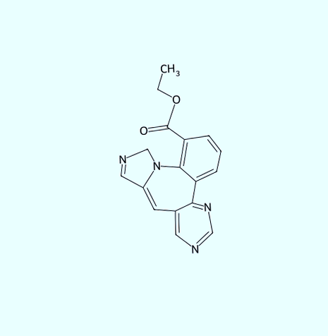 CCOC(=O)c1cccc2c1N1CN=CC1=Cc1cncnc1-2